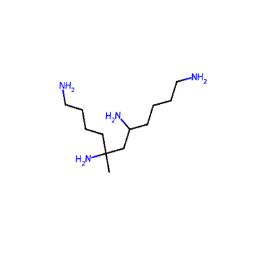 CC(N)(CCCCN)CC(N)CCCCN